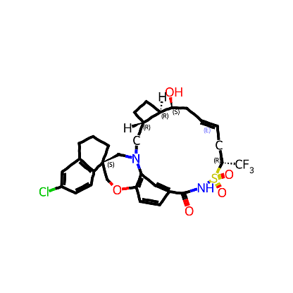 O=C1NS(=O)(=O)[C@@H](C(F)(F)F)C/C=C/C[C@H](O)[C@@H]2CC[C@H]2CN2C[C@@]3(CCCc4cc(Cl)ccc43)COc3ccc1cc32